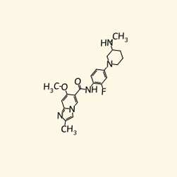 CNC1CCCN(c2ccc(NC(=O)c3cn4cc(C)nc4cc3OC)c(F)c2)C1